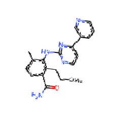 COCCc1c(C(N)=O)ccc(C)c1Nc1nccc(-c2cccnc2)n1